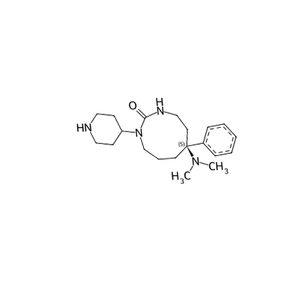 CN(C)[C@@]1(c2ccccc2)CCCN(C2CCNCC2)C(=O)NCC1